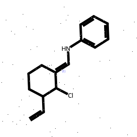 C=CC1CCC/C(=C\Nc2ccccc2)C1Cl